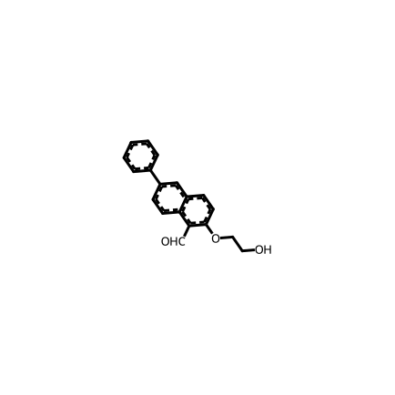 O=Cc1c(OCCO)ccc2cc(-c3ccccc3)ccc12